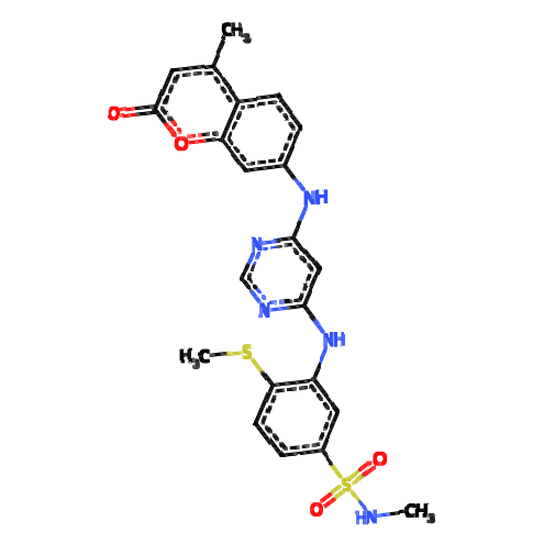 CNS(=O)(=O)c1ccc(SC)c(Nc2cc(Nc3ccc4c(C)cc(=O)oc4c3)ncn2)c1